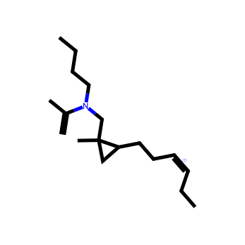 C=C(C)N(CCCC)CC1(C)CC1CC/C=C\CC